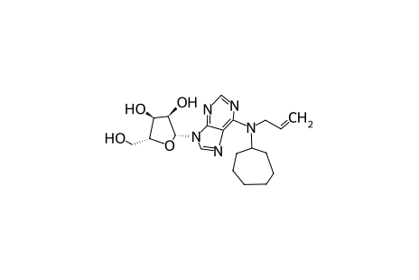 C=CCN(c1ncnc2c1ncn2[C@@H]1O[C@H](CO)[C@@H](O)[C@H]1O)C1CCCCCC1